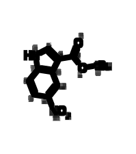 CC(C)(C)OC(=O)c1c[nH]c2ccc([N+](=O)[O-])cc12